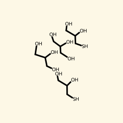 OCC(O)CO.OCC(O)CO.OCC(O)CS.OCC(O)CS